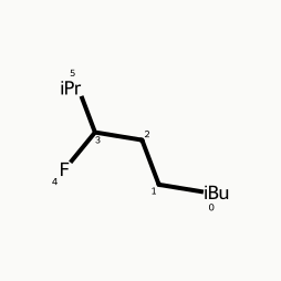 CCC(C)CCC(F)C(C)C